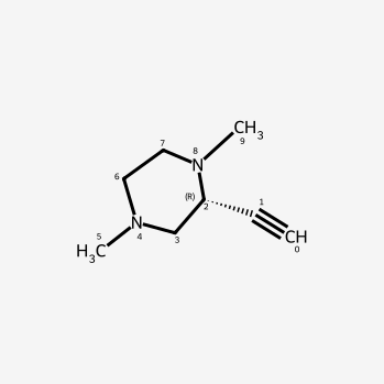 C#C[C@@H]1CN(C)CCN1C